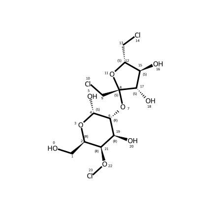 OC[C@H]1O[C@H](O)[C@H](O[C@]2(CCl)O[C@H](CCl)[C@@H](O)[C@@H]2O)[C@@H](O)[C@H]1OCl